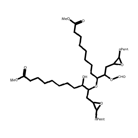 CCCCCC1OC1CC(OC(CCCCCCCC(=O)OC)C(CC1OC1CCCCC)OC=O)C(O)CCCCCCCC(=O)OC